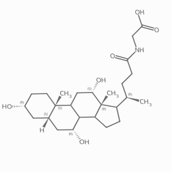 C[C@H](CCC(=O)NCC(=O)O)C1CCC2C3C(C[C@H](O)[C@@]21C)[C@@]1(C)CC[C@@H](O)C[C@H]1C[C@H]3O